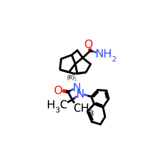 CC1(C)C(=O)N([C@@H]2C3CC4CC5(C(N)=O)CC2CC45C3)N1c1cccc2c1C=CCC2